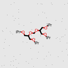 CC(C)OCC(COC(C)C)OCOC(COC(C)C)COC(C)C